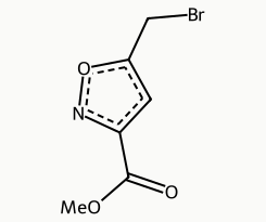 COC(=O)c1cc(CBr)on1